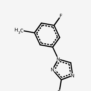 Cc1cc(F)cc(-n2cnc(Br)n2)c1